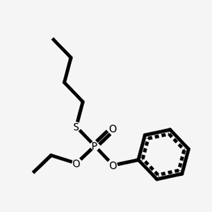 CCCCSP(=O)(OCC)Oc1ccccc1